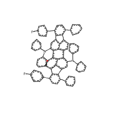 Fc1ccc(-c2ccc(-c3ccccc3)c3c2-c2ccc4c5c(N(c6ccccc6)c6ccccc6)cc6c7c(ccc(c8c(N(c9ccccc9)c9ccccc9)cc-3c2c48)c75)-c2c(-c3ccccc3)ccc(-c3ccc(F)cc3)c2-6)cc1